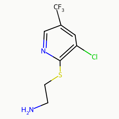 NCCSc1ncc(C(F)(F)F)cc1Cl